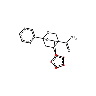 NC(=O)C12COC(c3ccccn3)(CC1c1cccs1)CC2c1cccs1